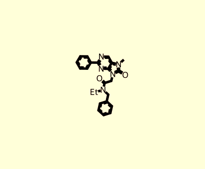 CCN(Cc1ccccc1)C(=O)Cn1c(=O)n(C)c2cnc(-c3ccccc3)nc21